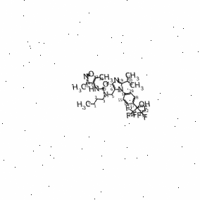 CCCCN(Cc1cnc(C(C)C)n1-c1ccc(C(O)(C(F)(F)F)C(F)(F)F)cc1)C(=O)Nc1c(C)noc1C